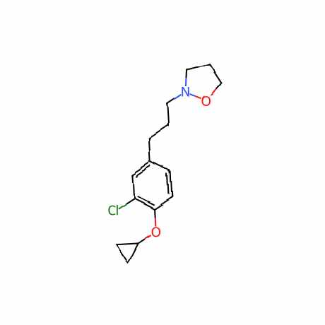 Clc1cc(CCCN2CCCO2)ccc1OC1CC1